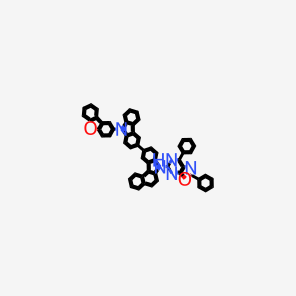 c1ccc(C2=c3nc(-c4ccccc4)oc3=NC(n3c4ccc(-c5ccc6c(c5)c5ccccc5n6-c5ccc6oc7ccccc7c6c5)cc4c4c5ccccc5ccc43)N2)cc1